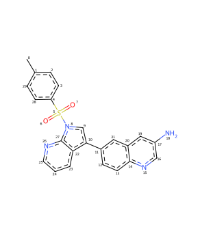 Cc1ccc(S(=O)(=O)n2cc(-c3ccc4ncc(N)cc4c3)c3cccnc32)cc1